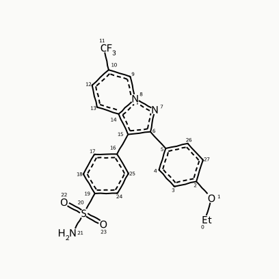 CCOc1ccc(-c2nn3cc(C(F)(F)F)ccc3c2-c2ccc(S(N)(=O)=O)cc2)cc1